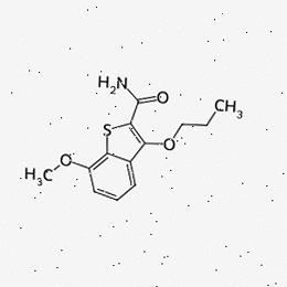 CCCOc1c(C(N)=O)sc2c(OC)cccc12